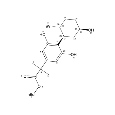 CCCCOC(=O)C(C)(C)c1cc(O)c([C@@H]2C[C@H](O)CC[C@H]2C(C)C)c(O)c1